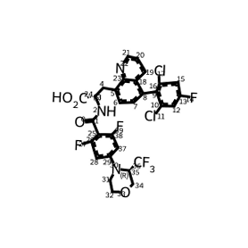 O=C(N[C@@H](Cc1ccc(-c2c(Cl)cc(F)cc2Cl)c2cccnc12)C(=O)O)c1c(F)cc(N2CCOC[C@@H]2C(F)(F)F)cc1F